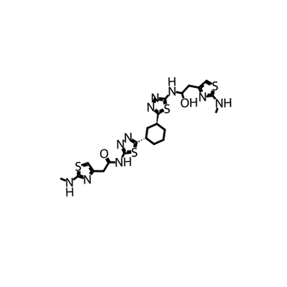 CNc1nc(CC(=O)Nc2nnc([C@H]3CCC[C@H](c4nnc(NC(O)Cc5csc(NC)n5)s4)C3)s2)cs1